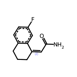 NC(=O)/C=C1/CCCc2ccc(F)cc21